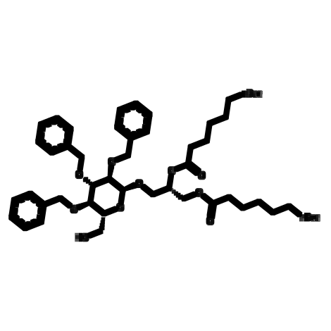 CCCCCCCCCCCCCCCC(=O)OC[C@H](CO[C@H]1O[C@H](CO)[C@@H](OCc2ccccc2)[C@H](OCc2ccccc2)[C@H]1OCc1ccccc1)OC(=O)CCCCCCCCCCCCCCC